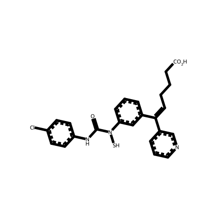 O=C(O)CCCC=C(c1cccnc1)c1cccc(N(S)C(=O)Nc2ccc(Cl)cc2)c1